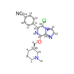 CN1CCC[C@@H](COc2nc(-c3ccc(C#N)cc3)c(Cl)n3ccnc23)C1